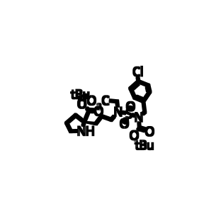 CC(C)(C)OC(=O)N(Cc1ccc(Cl)cc1)S(=O)(=O)N(CCC[C@]1(C(=O)OC(C)(C)C)CCCN1)CC(=O)O